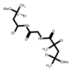 CCC(C[C@@](C)(CC)OC)NC(=O)CNC(=O)C(C)(CC)CC(C)(CC)OC